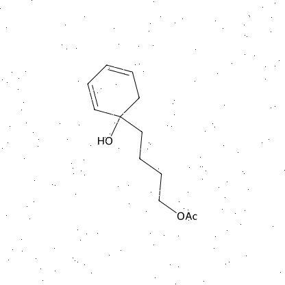 CC(=O)OCCCCC1(O)C=CC=CC1